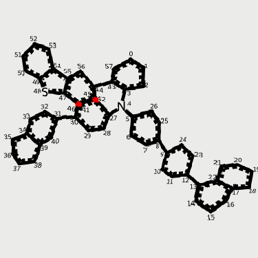 c1ccc(N(c2ccc(-c3ccc(-c4cccc5ccccc45)cc3)cc2)c2ccc(-c3ccc4ccccc4c3)cc2)c(-c2ccc3sc4ccccc4c3c2)c1